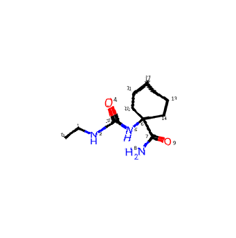 CCNC(=O)NC1(C(N)=O)CCCCC1